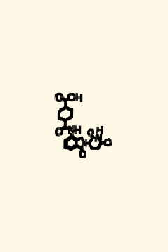 O=C1CCC(N2Cc3c(NC(=O)C4CCC(C(=O)O)CC4)cccc3C2=O)C(=O)N1